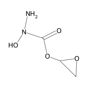 NN(O)C(=O)OC1CO1